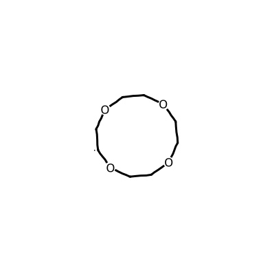 [CH]1COCCOCCOCCO1